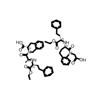 CCOC(=O)[C@H](CCc1ccccc1)N[C@@H](C)C(=O)N1Cc2ccccc2C[C@H]1C(=O)O.CCOC(=O)[C@H](CCc1ccccc1)N[C@H]1CCc2ccccc2N(CC(=O)O)C1=O